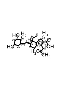 C=C1/C(=C\C=C2/CCC[C@]3(C)[C@@H]([C@H](C)C(CCC(C)C)C(=O)O)CC[C@@H]23)C[C@@H](O)C[C@@H]1O